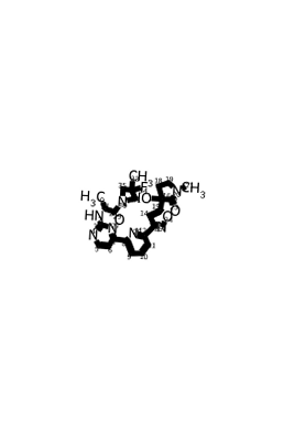 CC(Nc1nccc(-c2cccc(-c3cc(C4(O)CCN(C)C4=O)on3)n2)n1)C(=O)N1CC(C)(F)C1